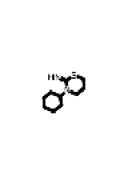 N=C1SCCCN1C1CCCCC1